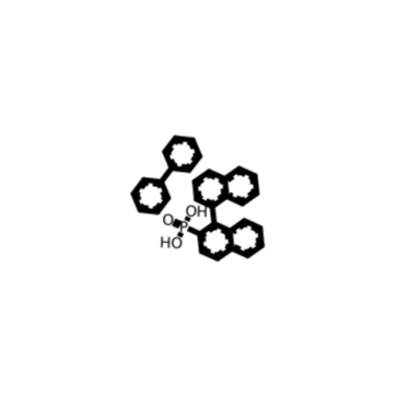 O=P(O)(O)c1ccc2ccccc2c1-c1cccc2ccccc12.c1ccc(-c2ccccc2)cc1